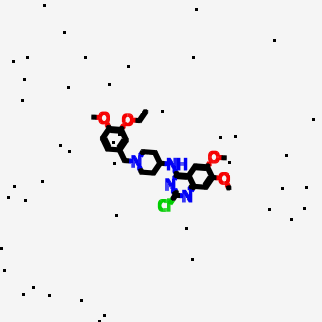 CCOc1cc(CN2CCC(Nc3nc(Cl)nc4cc(OC)c(OC)cc34)CC2)ccc1OC